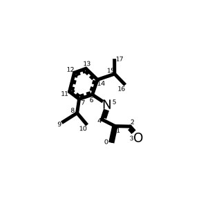 C=C(C=O)C=Nc1c(C(C)C)cccc1C(C)C